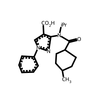 CC1CCC(C(=O)N(c2nn(-c3ccccc3)cc2C(=O)O)C(C)C)CC1